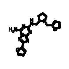 Nc1nc(NCC2CCCN2Cc2ccco2)nc2nc(-c3ccco3)nn12